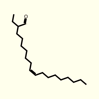 CCCCCCCC/C=C\CCCCCCC([C]=O)CC